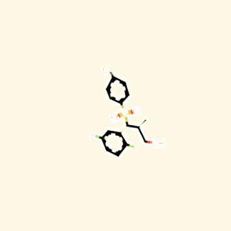 C[C@@H](CO)[C@H](c1cc(F)ccc1F)S(=O)(=O)c1ccc(Cl)cc1